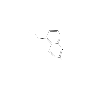 OCc1ccnc2cc(F)ccc12